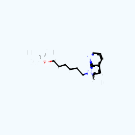 CC(C)(C)[Si](C)(C)OCCCCCCn1c(C=O)cc2cccnc21